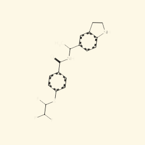 CC(NC(=O)c1ccc(SC(F)C(F)F)cc1)c1ccc2c(c1)CCN2